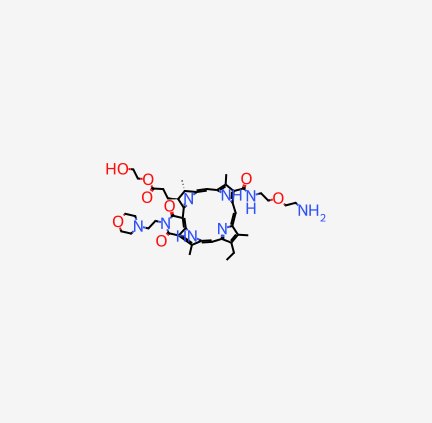 CCC1=C(C)c2cc3[nH]c(cc4nc(c5c6[nH]c(cc1n2)c(C)c6C(=O)N(CCN1CCOCC1)C5=O)[C@@H](CCC(=O)OCCO)[C@@H]4C)c(C)c3C(=O)NCCOCCN